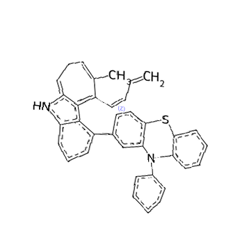 C=C/C=C\C1=c2c([nH]c3cccc(-c4ccc5c(c4)N(c4ccccc4)c4ccccc4S5)c23)=CCC=C1C